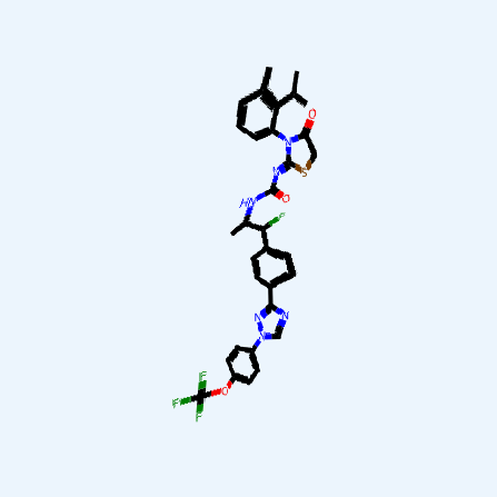 Cc1cccc(N2C(=O)CS/C2=N\C(=O)NC(C)C(F)c2ccc(-c3ncn(-c4ccc(OC(F)(F)F)cc4)n3)cc2)c1C(C)C